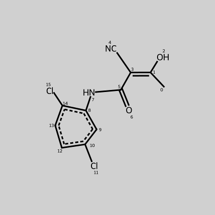 C/C(O)=C(/C#N)C(=O)Nc1cc(Cl)ccc1Cl